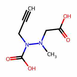 C#CCN(C(=O)O)N(C)CC(=O)O